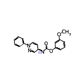 COc1cccc(OC(=O)/N=c2\ccn(-c3ccccc3)nc2)c1